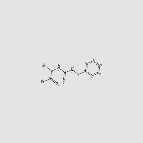 CCC(=O)C(NC(=O)NCc1ccccc1)C(C)C